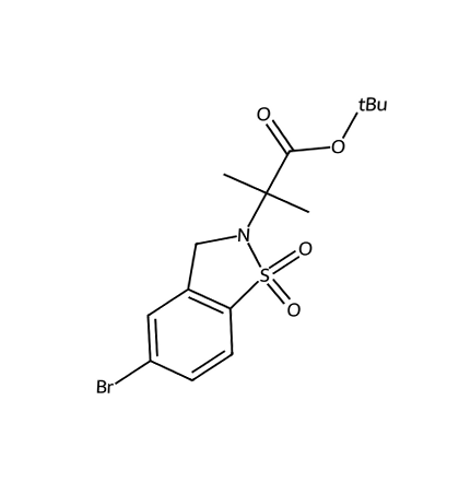 CC(C)(C)OC(=O)C(C)(C)N1Cc2cc(Br)ccc2S1(=O)=O